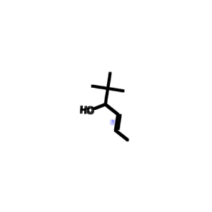 C/C=C/C(O)C(C)(C)C